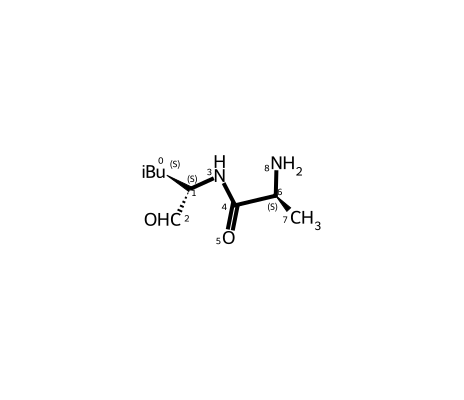 CC[C@H](C)[C@@H](C=O)NC(=O)[C@H](C)N